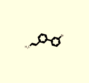 C/C=C/c1cccc(-c2cccc(Br)c2)c1